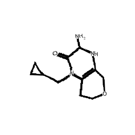 NC1NC2=C(CCOC2)N(CC2CC2)C1=O